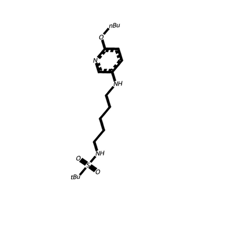 CCCCOc1ccc(NCCCCCNS(=O)(=O)C(C)(C)C)cn1